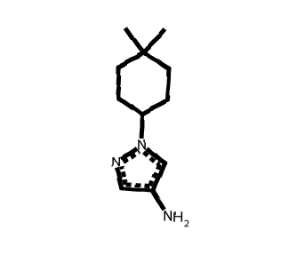 CC1(C)CCC(n2cc(N)cn2)CC1